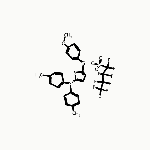 COc1ccc(Sc2ccc([S+](c3ccc(C)cc3)c3ccc(C)cc3)s2)cc1.O=S(=O)([O-])C(F)(F)C(F)(F)C(F)(F)C(F)(F)F